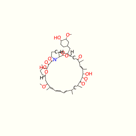 COC1CC(CC2[C@H]3CCCN4C(=O)C(=O)C5(O)O[C@@H](CCC5C)C[C@H](OC)/C(C)=C/C=C/C=C/C(C)CC(C)C(=O)[C@H](OC)C(O)/C(C)=C/C(C)C(=O)C[C@@H]2OC(=O)C34)CCC1O